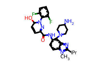 CC(C)c1nc2c(N3CCC(N)CC3)c(NC(=O)C3=NN(c4c(F)cccc4F)C(O)C=C3)ccc2n1C